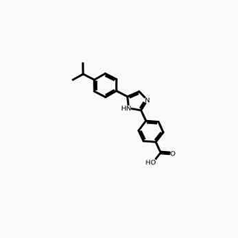 CC(C)c1ccc(-c2cnc(-c3ccc(C(=O)O)cc3)[nH]2)cc1